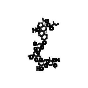 C/C=C(\C)C(=O)O[C@@H]1CC2C(CC=C3C[C@@H](OC4CC(OC)C(OC5CC(OC)C(OC6CC(O)C(OC7CC(OC)C(O)C(C)O7)C(C)O6)C(C)O5)C(C)O4)CC[C@@]32C)[C@@]2(O)CC[C@H](C(C)=O)[C@@]12C